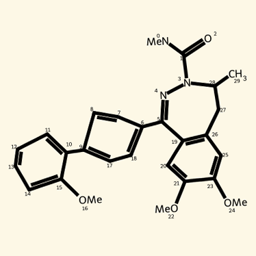 CNC(=O)N1N=C(c2ccc(-c3ccccc3OC)cc2)c2cc(OC)c(OC)cc2CC1C